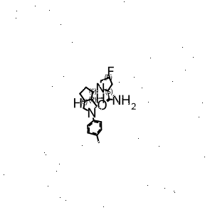 Cc1ccc(N2C[C@H]3CC[C@H](N4C[C@H](F)C[C@H]4C(N)=O)[C@H]3C2)cc1